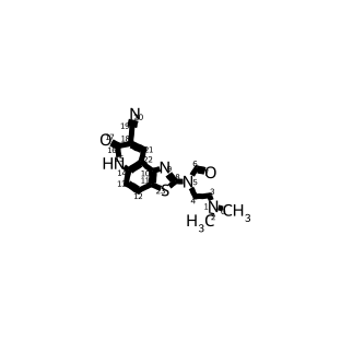 CN(C)CCN(C=O)c1nc2c(ccc3[nH]c(=O)c(C#N)cc32)s1